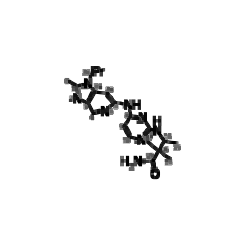 Cc1nc2cnc(Nc3ccnc(NC(C)C(C)(C)C(N)=O)n3)cc2n1C(C)C